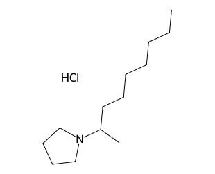 CCCCCCCC(C)N1CCCC1.Cl